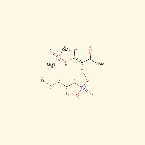 CCOP(=S)(OCC)SCCSCC.COC(=O)/C=C(\C)OP(=O)(OC)OC